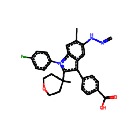 C=NNc1cc2c(-c3ccc(C(=O)O)cc3)c(C3(C)CCOCC3)n(-c3ccc(F)cc3)c2cc1C